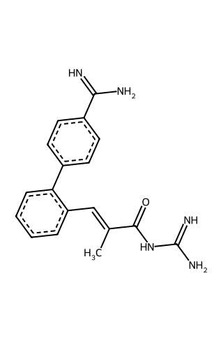 C/C(=C\c1ccccc1-c1ccc(C(=N)N)cc1)C(=O)NC(=N)N